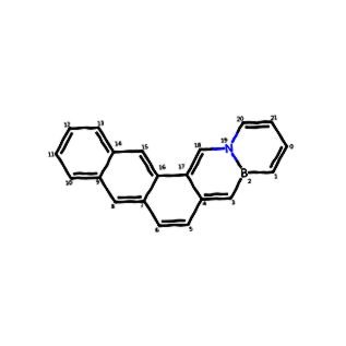 C1=CB2C=c3ccc4cc5ccccc5cc4c3=CN2C=C1